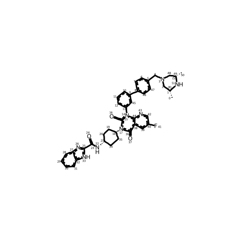 C[C@@H]1CN(Cc2ccc(-c3cccc(-n4c(=O)n([C@H]5CC[C@@H](NC(=O)c6nc7ccccc7[nH]6)CC5)c(=O)c5cc(F)cnc54)c3)cc2)C[C@H](C)N1